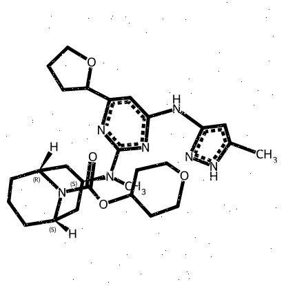 Cc1cc(Nc2cc(C3CCCO3)nc(N(C)[C@@H]3C[C@H]4CCC[C@@H](C3)N4C(=O)OC3CCOCC3)n2)n[nH]1